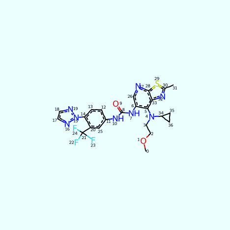 COCCN(c1c(NC(=O)Nc2ccc(-n3nccn3)c(C(F)(F)F)c2)cnc2sc(C)nc12)C1CC1